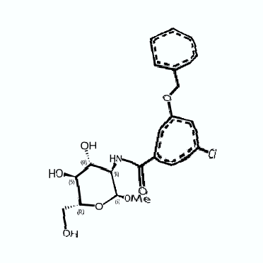 CO[C@H]1O[C@H](CO)[C@@H](O)[C@H](O)[C@H]1NC(=O)c1cc(Cl)cc(OCc2ccccc2)c1